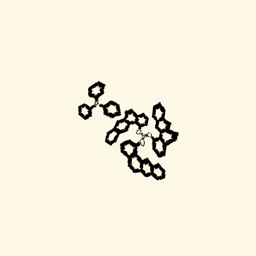 c1ccc(P(c2ccccc2)c2ccccc2)cc1.c1ccc2cc3c(ccc4cccc(OB(Oc5cccc6ccc7cc8ccccc8cc7c56)Oc5cccc6ccc7cc8ccccc8cc7c56)c43)cc2c1